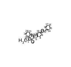 CCOC(=O)C(Cc1ccc(OCc2ccccc2)cc1)Nc1ccccc1